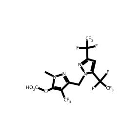 Cn1nc(Cn2nc(C(F)(F)C(F)(F)F)cc2C(F)(F)C(F)(F)F)c(C(F)(F)F)c1OC(=O)O